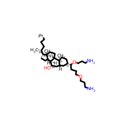 CC(C)CCC[C@@H](C)[C@H]1CC[C@H]2[C@@H]3[C@@H](O)C[C@H]4C[C@@H](C(CCCOCCCN)OCCCN)CC[C@]4(C)[C@H]3CC[C@]12C